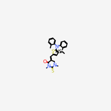 Cc1ccccc1N(c1ccc(/C=C2\CN(C)C(=S)N(C)C2=O)s1)c1ccccc1[SiH](C)C